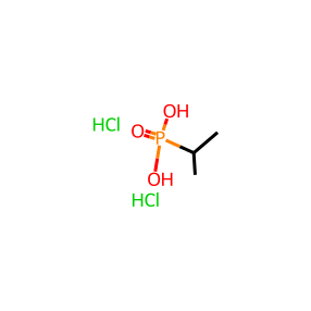 CC(C)P(=O)(O)O.Cl.Cl